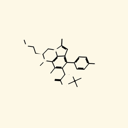 COCC[C@H]1Cn2c(C)cc3c(-c4ccc(Cl)cc4)c([C@H](OC(C)(C)C)C(=O)O)c(C)c(c32)N1C